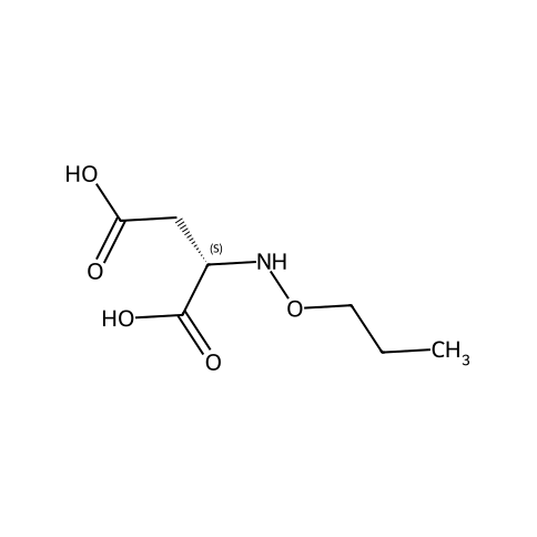 CCCON[C@@H](CC(=O)O)C(=O)O